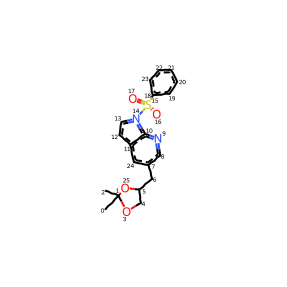 CC1(C)OCC(Cc2cnc3c(ccn3S(=O)(=O)c3ccccc3)c2)O1